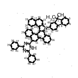 CC1(C)c2ccccc2-c2ccc(-n3c4ccc5ccccc5c4c4c5c6ccccc6c(C6N=C(c7ccccc7)N=C(c7ccccc7)N6)cc5c5ccccc5c43)cc21